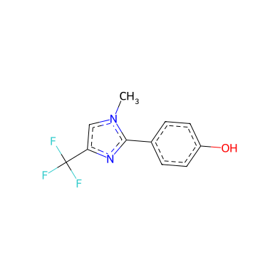 Cn1cc(C(F)(F)F)nc1-c1ccc(O)cc1